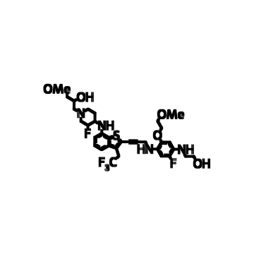 COCCOc1cc(NCCO)c(F)cc1NCC#Cc1sc2c(NC3CCN(CC(O)COC)CC3F)cccc2c1CC(F)(F)F